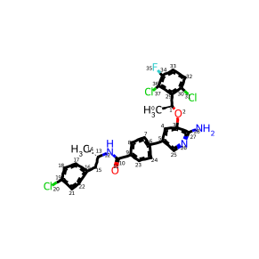 C[C@H](Oc1cc(-c2ccc(C(=O)N[C@@H](C)Cc3ccc(Cl)cc3)cc2)cnc1N)c1c(Cl)ccc(F)c1Cl